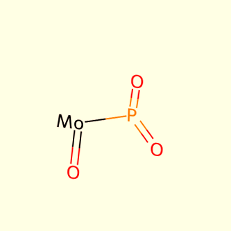 [O]=[Mo][P](=O)=O